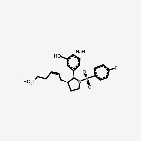 O=C(O)CC/C=C\C[C@@H]1CCN(S(=O)(=O)c2ccc(F)cc2)[C@@H]1c1cccc(O)c1.[NaH]